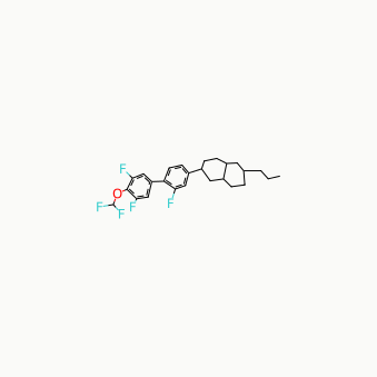 CCCC1CCC2CC(c3ccc(-c4cc(F)c(OC(F)F)c(F)c4)c(F)c3)CCC2C1